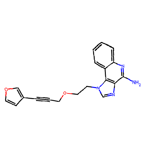 Nc1nc2ccccc2c2c1ncn2CCOCC#Cc1ccoc1